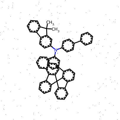 CC1(C)c2ccccc2-c2ccc(N(c3ccc(-c4ccccc4)cc3)c3cccc(-c4cccc5c4C4(c6ccccc6-5)c5ccccc5-c5c4ccc4ccccc54)c3)cc21